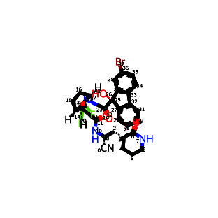 N#C[C@@H](C[C@H]1CCCNC1=O)NC(=O)[C@H]1[C@@H]2CC[C@@H](CC2(F)F)N1C(=O)[C@]1(O)c2ccccc2-c2ccc(Br)cc21